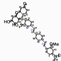 CCN(CC)c1ccc(/C=C/c2ccc(/C=C/c3ccc(-c4c5ccc(=O)cc-5oc5cc(O)ccc45)c(S(=O)(=O)O)c3)cc2)c(OC)c1